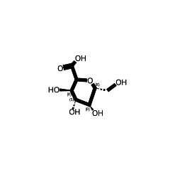 O=C(O)C1O[C@H](CO)[C@H](O)[C@H](O)[C@H]1O